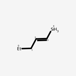 CCC/C=C/[SiH3]